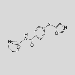 O=C(NC1CC2CCN(CC2)C1)c1ccc(Sc2cnco2)cc1